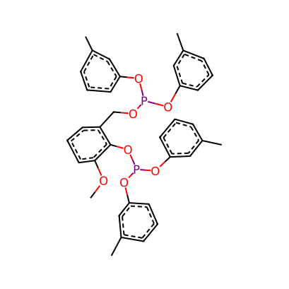 COc1cccc(COP(Oc2cccc(C)c2)Oc2cccc(C)c2)c1OP(Oc1cccc(C)c1)Oc1cccc(C)c1